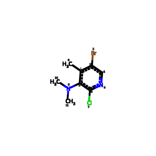 Cc1c(Br)cnc(Cl)c1N(C)C